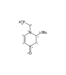 CC(C)(C)C1CC(=O)C=CN1CP